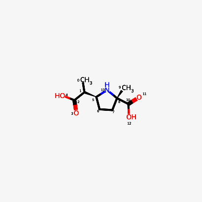 CC(C(=O)O)[C@@H]1CC[C@@](C)(C(=O)O)N1